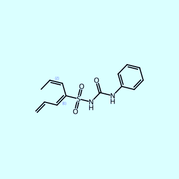 C=C/C=C(\C=C/C)S(=O)(=O)NC(=O)Nc1ccccc1